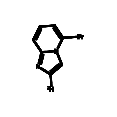 [2H]c1cn2c(C(C)C)cccc2n1